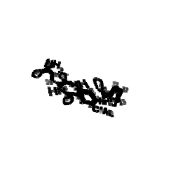 COc1cc2c(cc1NC(=O)c1ccco1)NC(=O)[C@@H](CCC(N)=O)NC2=O